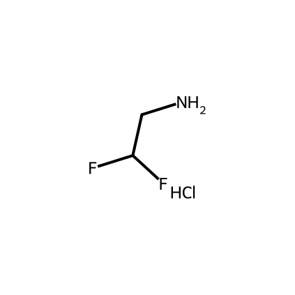 Cl.NCC(F)F